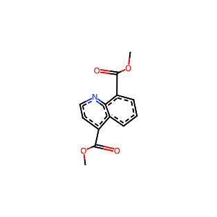 COC(=O)c1ccnc2c(C(=O)OC)cccc12